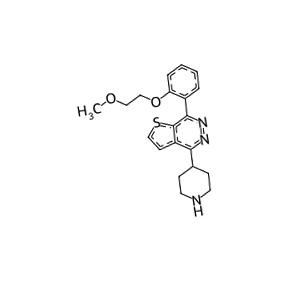 COCCOc1ccccc1-c1nnc(C2CCNCC2)c2ccsc12